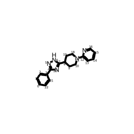 c1ccc(-c2n[nH]c(C3CCN(c4ccccn4)CC3)n2)cc1